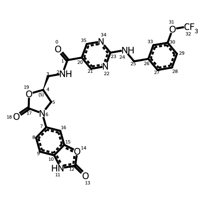 O=C(NC[C@H]1CN(c2ccc3[nH]c(=O)oc3c2)C(=O)O1)c1cnc(NCc2cccc(OC(F)(F)F)c2)nc1